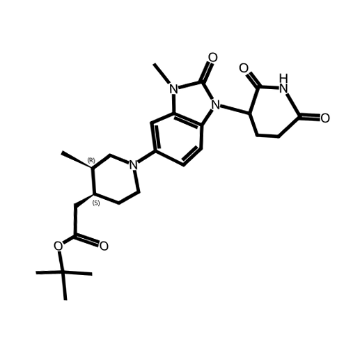 C[C@H]1CN(c2ccc3c(c2)n(C)c(=O)n3C2CCC(=O)NC2=O)CC[C@H]1CC(=O)OC(C)(C)C